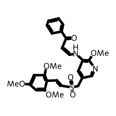 COc1cc(OC)c(/C=C/S(=O)(=O)Cc2cnc(OC)c(N/C=C\C(=O)c3ccccc3)c2)c(OC)c1